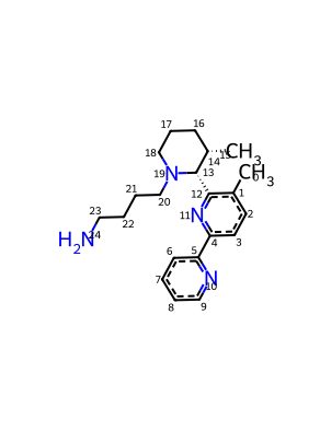 Cc1ccc(-c2ccccn2)nc1[C@H]1[C@@H](C)CCCN1CCCCN